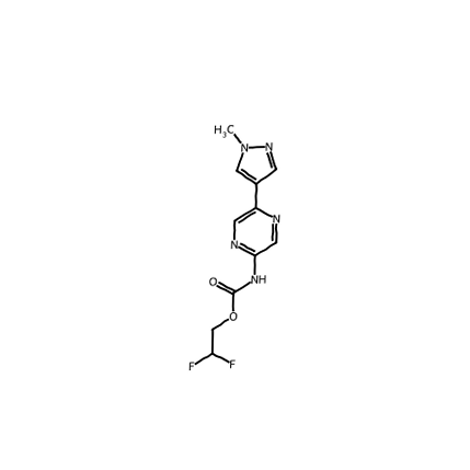 Cn1cc(-c2cnc(NC(=O)OCC(F)F)cn2)cn1